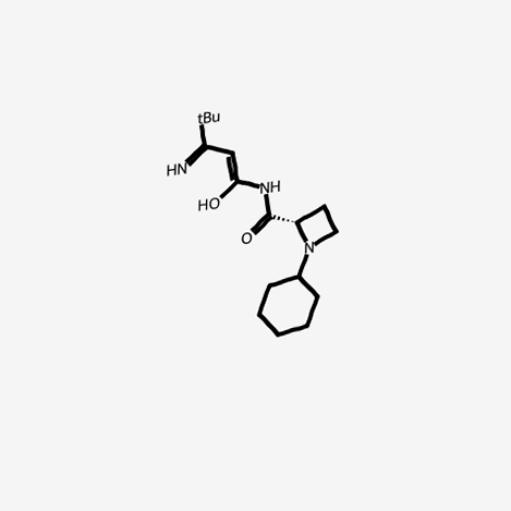 CC(C)(C)C(=N)/C=C(\O)NC(=O)[C@@H]1CCN1C1CCCCC1